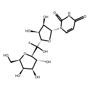 O=c1ccn([C@@H]2O[C@H](C(O)(F)[C@@H]3O[C@H](CO)[C@H](O)[C@H](O)[C@H]3O)[C@@H](O)[C@H]2O)c(=O)[nH]1